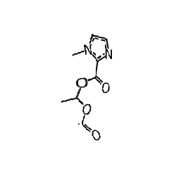 CC(O[C]=O)OC(=O)c1nccn1C